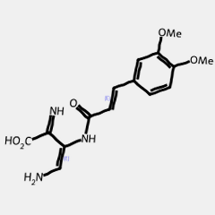 COc1ccc(/C=C/C(=O)N/C(=C/N)C(=N)C(=O)O)cc1OC